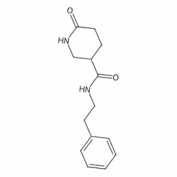 O=C1CCC(C(=O)NCCc2ccccc2)CN1